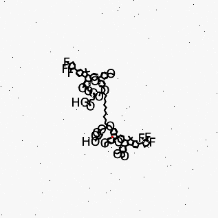 COc1ccc(C2(c3ccc(OC(CCCCCCCCCCC(COC(=O)CCC(=O)O)Oc4ccc(C5(c6ccc(OC)cc6)C=Cc6c7c(c8cc(OC)c(OC)cc8c6O5)-c5ccc(-c6ccc(F)c(F)c6F)cc5C7(C)C)cc4)COC(=O)CCC(=O)O)cc3)C=Cc3c4c(c5cc(OC)c(OC)cc5c3O2)-c2ccc(-c3ccc(F)c(F)c3F)cc2C4(C)C)cc1